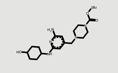 CC(C)(C)OC(=O)N1CCN(Cc2cc(N)nc(NC3CCC(O)CC3)c2)CC1